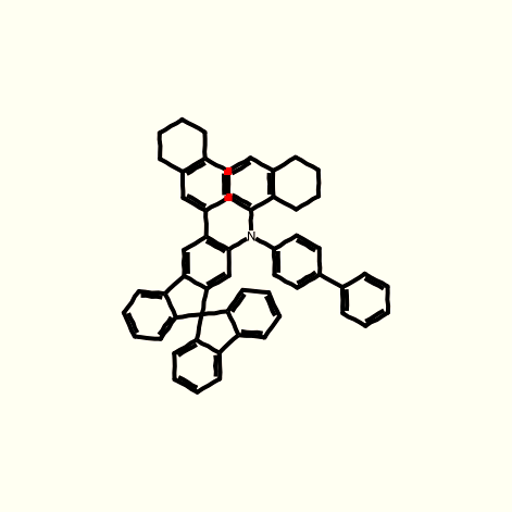 c1ccc(-c2ccc(N(c3cc4c(cc3-c3ccc5c(c3)CCCC5)-c3ccccc3C43c4ccccc4-c4ccccc43)c3cccc4c3CCCC4)cc2)cc1